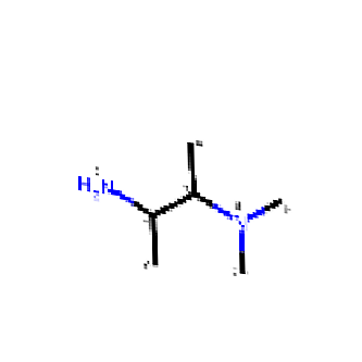 CC(N)C(C)N(C)C